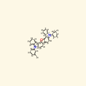 Cc1cccc(-n2c3ccccc3c3c4oc5c(ccc6c5c5ccccc5n6-c5cccc(C)c5)c4ccc32)c1